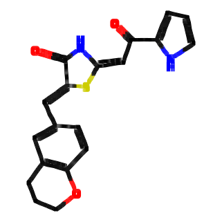 O=C(/C=c1\[nH]c(=O)/c(=C/c2ccc3c(c2)CCCO3)s1)c1ccc[nH]1